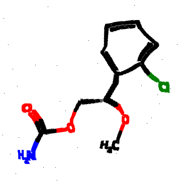 CO[C@H](COC(N)=O)c1ccccc1Cl